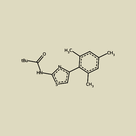 Cc1cc(C)c(-c2csc(NC(=O)C(C)(C)C)n2)c(C)c1